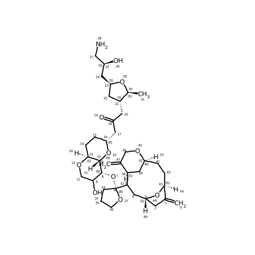 C=C1C[C@@H]2CC([C@]3(O[C@@H]4C(O)CO[C@H]5CC[C@H](CC(=O)C[C@@H]6C[C@@H](C[C@H](O)CN)O[C@H]6C)O[C@@H]54)CCCO3)[C@@H]3C[C@H](CC[C@@H]1O2)OCC3=C